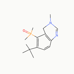 CN1C=Nc2ccc(C(C)(C)C)c(P(C)(C)=O)c2C1